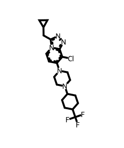 FC(F)(F)C1CCC(N2CCN(c3ccn4c(CC5CC5)nnc4c3Cl)CC2)CC1